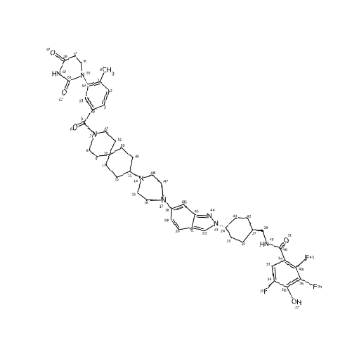 Cc1ccc(C(=O)N2CCC3(CCC(N4CCN(c5ccc6cn([C@H]7CC[C@H](CNC(=O)c8cc(F)c(O)c(F)c8F)CC7)nc6c5)CC4)CC3)CC2)cc1N1CCC(=O)NC1=O